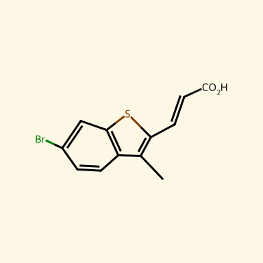 Cc1c(C=CC(=O)O)sc2cc(Br)ccc12